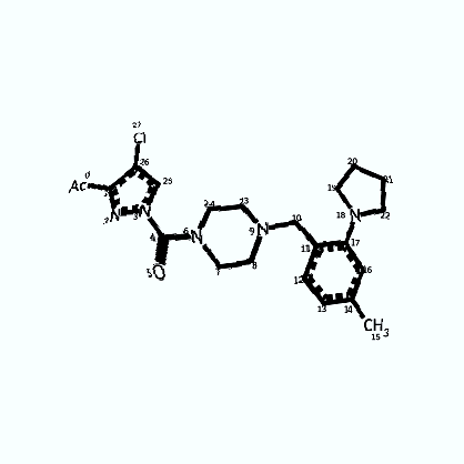 CC(=O)c1nn(C(=O)N2CCN(Cc3ccc(C)cc3N3CCCC3)CC2)cc1Cl